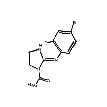 COC(=O)N1CCN/C1=N\c1ccc(Br)cc1Cl